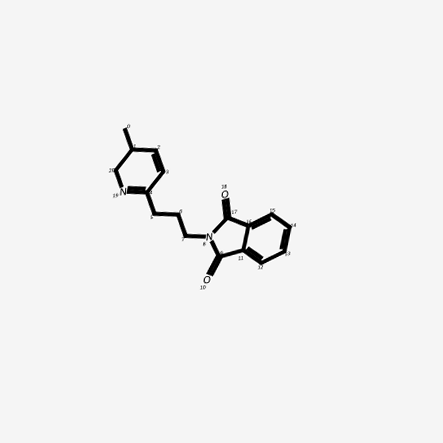 CC1C=CC(CCCN2C(=O)c3ccccc3C2=O)=NC1